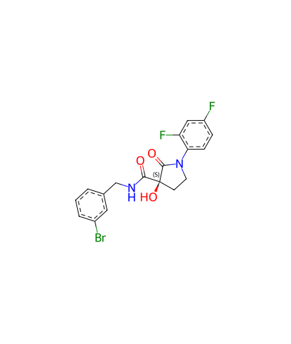 O=C(NCc1cccc(Br)c1)[C@@]1(O)CCN(c2ccc(F)cc2F)C1=O